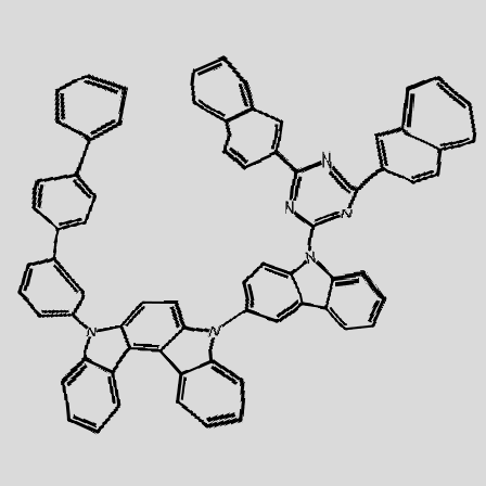 c1ccc(-c2ccc(-c3cccc(-n4c5ccccc5c5c6c7ccccc7n(-c7ccc8c(c7)c7ccccc7n8-c7nc(-c8ccc9ccccc9c8)nc(-c8ccc9ccccc9c8)n7)c6ccc54)c3)cc2)cc1